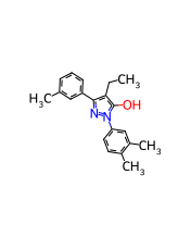 CCc1c(-c2cccc(C)c2)nn(-c2ccc(C)c(C)c2)c1O